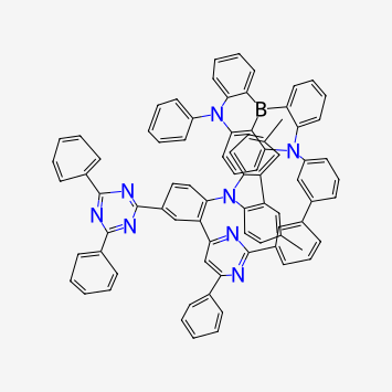 Cc1ccc2c(c1)c1cc(C)ccc1n2-c1ccc(-c2nc(-c3ccccc3)nc(-c3ccccc3)n2)cc1-c1cc(-c2ccccc2)nc(-c2cccc(-c3cccc(N4c5ccccc5B5c6ccccc6N(c6ccccc6)c6cccc4c65)c3)c2)n1